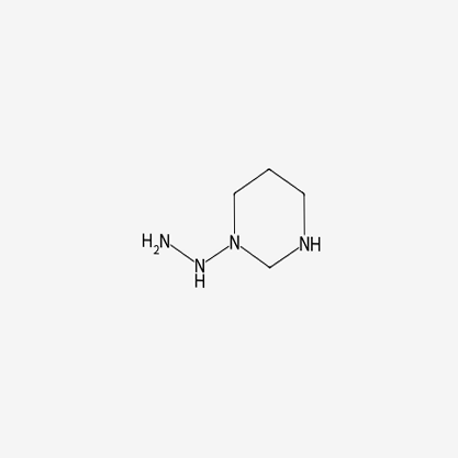 NNN1CCCNC1